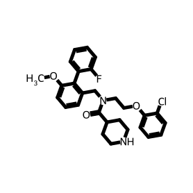 COc1cccc(CN(CCOc2ccccc2Cl)C(=O)C2CCNCC2)c1-c1ccccc1F